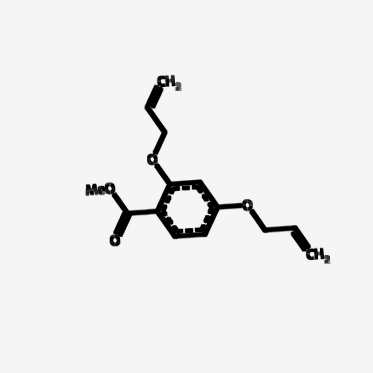 C=CCOc1ccc(C(=O)OC)c(OCC=C)c1